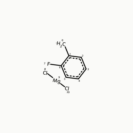 [CH2]c1ccccc1F.[Cl][Mg][Cl]